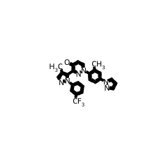 Cc1cc(-n2cccn2)ccc1-n1ccc(=O)c(-c2c(C)cnn2-c2cccc(C(F)(F)F)c2)n1